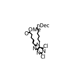 CCCCCCCCCCCCCCCCn1c(C=CCCC(=O)OC)nc2nc(Cl)nc(Cl)c21